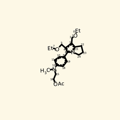 CCOCc1c(COCC)c(-c2ccc(N(C)CCOC(C)=O)cc2)n2c1CCC2